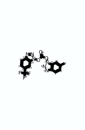 Cc1ccc2nnn(OC(=O)On3nnc4ccc(C(F)(F)F)cc43)c2c1